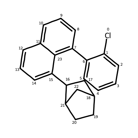 Clc1ccccc1-c1cccc2cccc(C3CC4CCC3C4)c12